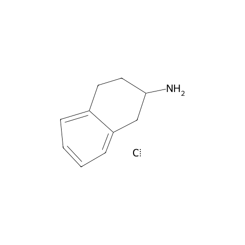 NC1CCc2ccccc2C1.[C]